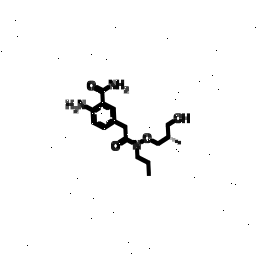 CCCN(OC[C@@H](C)CO)C(=O)Cc1ccc(N)c(C(N)=O)c1